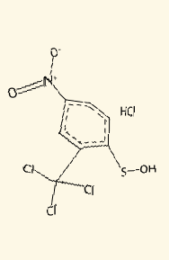 Cl.O=[N+]([O-])c1ccc(SO)c(C(Cl)(Cl)Cl)c1